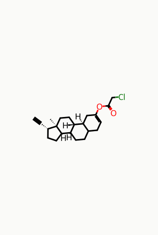 C#C[C@H]1CC[C@H]2[C@@H]3CCC4CC=C(OC(=O)CCl)C[C@@H]4[C@H]3CC[C@]12C